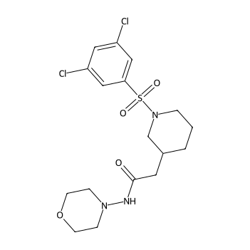 O=C(CC1CCCN(S(=O)(=O)c2cc(Cl)cc(Cl)c2)C1)NN1CCOCC1